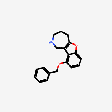 c1ccc(COc2cccc3oc4c(c23)CNCCC4)cc1